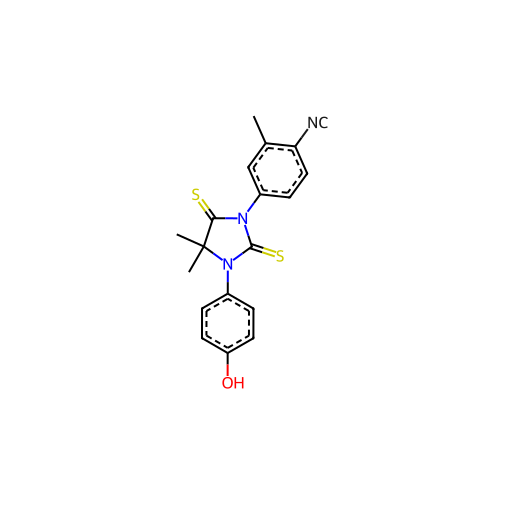 [C-]#[N+]c1ccc(N2C(=S)N(c3ccc(O)cc3)C(C)(C)C2=S)cc1C